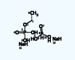 CCOP(=O)(O)O.O=[PH](O)O.[NaH].[NaH]